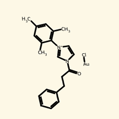 Cc1cc(C)c(-[n+]2ccn(C(=O)CCc3ccccc3)c2)c(C)c1.[Cl][Au]